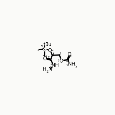 CC(C)(C)[Si](C)(C)OC(COC(N)=O)C(=O)NN